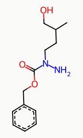 CC(CO)CCN(N)C(=O)OCc1ccccc1